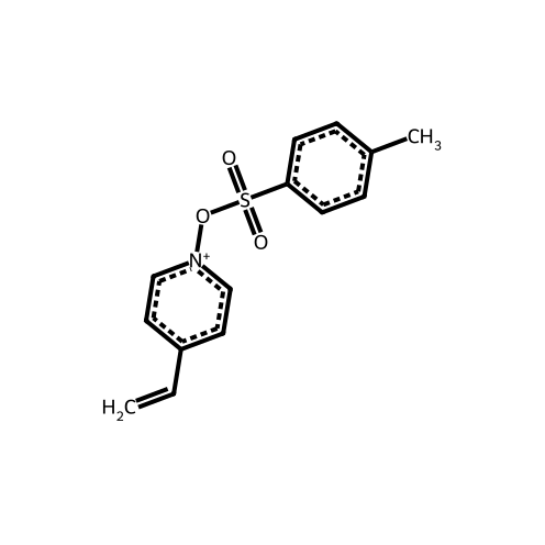 C=Cc1cc[n+](OS(=O)(=O)c2ccc(C)cc2)cc1